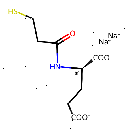 O=C([O-])CC[C@@H](NC(=O)CCS)C(=O)[O-].[Na+].[Na+]